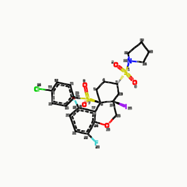 O=S(=O)([C@H]1CC[C@@]2(S(=O)(=O)c3ccc(Cl)cc3)c3c(F)ccc(F)c3OC[C@@]2(I)C1)N1CCCC1